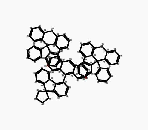 c1ccc(C2(c3ccccc3)c3ccccc3Oc3cccc(-c4cccc5c(-c6cccc7c6-c6ccccc6C76CCCC6)c6cccc(-c7cccc8c7C(c7ccccc7)(c7ccccc7)c7ccccc7O8)c6cc45)c32)cc1